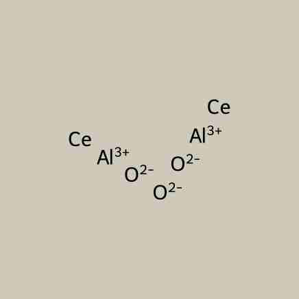 [Al+3].[Al+3].[Ce].[Ce].[O-2].[O-2].[O-2]